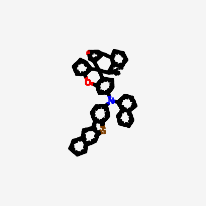 c1ccc2c(c1)Oc1cc(N(c3ccc4c(c3)sc3cc5ccccc5cc34)c3cccc4ccccc34)ccc1C21c2ccccc2-c2cccc3cccc1c23